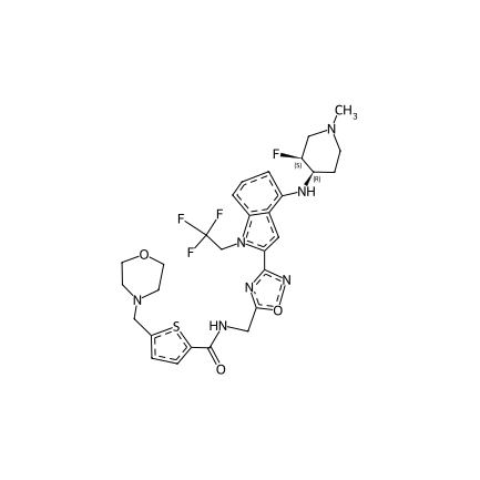 CN1CC[C@@H](Nc2cccc3c2cc(-c2noc(CNC(=O)c4ccc(CN5CCOCC5)s4)n2)n3CC(F)(F)F)[C@@H](F)C1